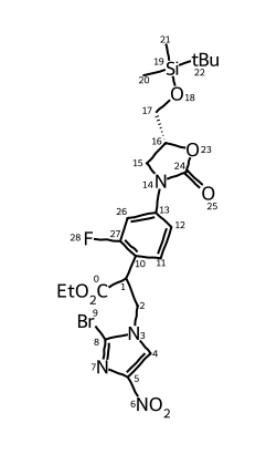 CCOC(=O)C(Cn1cc([N+](=O)[O-])nc1Br)c1ccc(N2C[C@H](CO[Si](C)(C)C(C)(C)C)OC2=O)cc1F